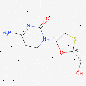 NC1=NC(=O)N([C@@H]2CS[C@H](CO)O2)CC1